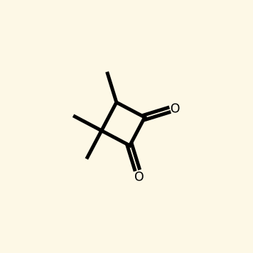 CC1C(=O)C(=O)C1(C)C